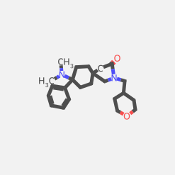 CN(C)C1(c2ccccc2)CCC2(CC1)CC(=O)N(CC1CCOCC1)C2